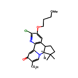 COCCCOc1cc2c(nc1Cl)-c1cc(=O)c(C(=O)O)cn1[C@H]1C2CCC1(C)C